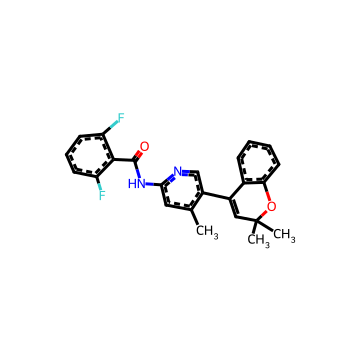 Cc1cc(NC(=O)c2c(F)cccc2F)ncc1C1=CC(C)(C)Oc2ccccc21